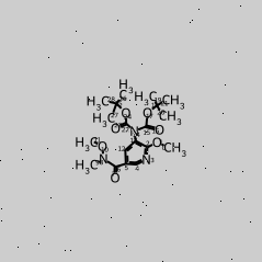 COc1ncc(C(=O)N(C)OC)cc1N(C(=O)OC(C)(C)C)C(=O)OC(C)(C)C